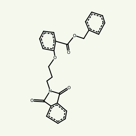 O=C(OCc1ccccc1)c1ccccc1OCCCN1C(=O)c2ccccc2C1=O